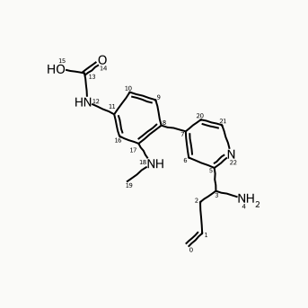 C=CCC(N)c1cc(-c2ccc(NC(=O)O)cc2NC)ccn1